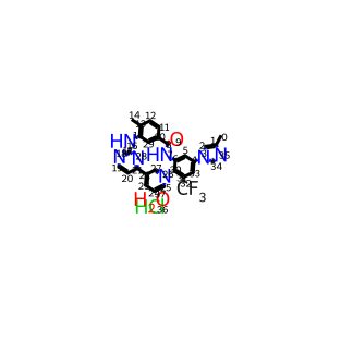 Cc1cn(-c2cc(NC(=O)c3ccc(C)c(Nc4nccc(-c5cccnc5)n4)c3)cc(C(F)(F)F)c2)cn1.Cl.O